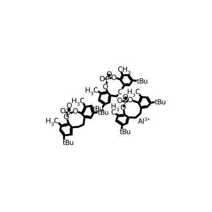 Cc1cc(C(C)(C)C)cc2c1OP(=O)([O-])Oc1c(C)cc(C(C)(C)C)cc1CC2.Cc1cc(C(C)(C)C)cc2c1OP(=O)([O-])Oc1c(C)cc(C(C)(C)C)cc1CC2.Cc1cc(C(C)(C)C)cc2c1OP(=O)([O-])Oc1c(C)cc(C(C)(C)C)cc1CC2.[Al+3]